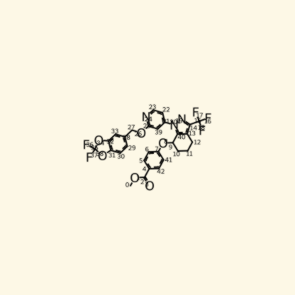 COC(=O)c1ccc(OC2CCCc3c(C(F)(F)F)nn(-c4ccnc(OCc5ccc6c(c5)OC(F)(F)O6)c4)c32)cc1